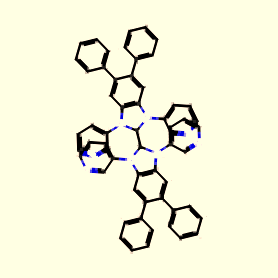 c1ccc(-c2cc3c(cc2-c2ccccc2)N(c2cccnc2)C(C2N(c4cccnc4)c4cc(-c5ccccc5)c(-c5ccccc5)cc4N2c2cccnc2)N3c2cccnc2)cc1